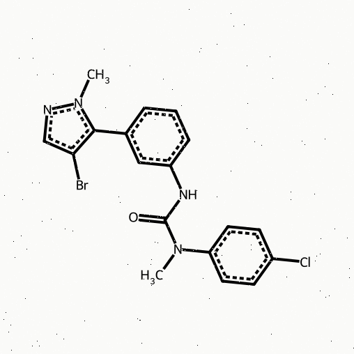 CN(C(=O)Nc1cccc(-c2c(Br)cnn2C)c1)c1ccc(Cl)cc1